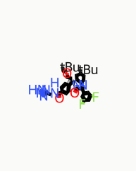 CC(C)(C)COCC[C@H](c1ccc(C(=O)NCc2nn[nH]n2)cc1)N1C(=O)C(c2cc(F)cc(F)c2)=NC12CCC(C(C)(C)C)CC2